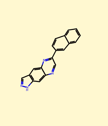 c1ccc2cc(-c3cnc4cc5[nH]ncc5cc4n3)ccc2c1